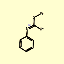 CCS/C(=N/c1ccccc1)C(C)C